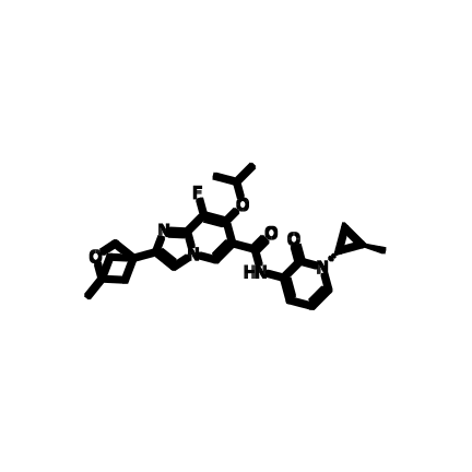 CC(C)Oc1c(C(=O)Nc2cccn([C@@H]3C[C@H]3C)c2=O)cn2cc(C34COC(C)(C3)C4)nc2c1F